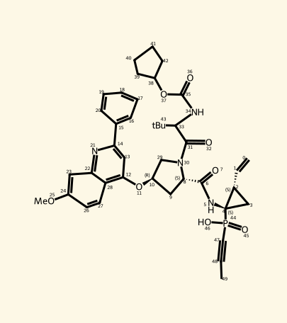 C=C[C@@H]1C[C@]1(NC(=O)[C@@H]1C[C@@H](Oc2cc(-c3ccccc3)nc3cc(OC)ccc23)CN1C(=O)C(NC(=O)OC1CCCC1)C(C)(C)C)P(=O)(O)C#CC